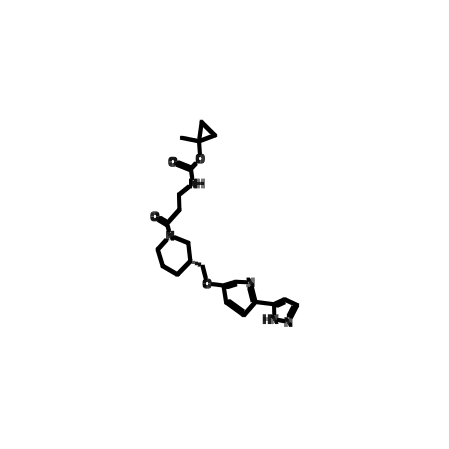 CC1(OC(=O)NCCC(=O)N2CCC[C@@H](COc3ccc(-c4ccn[nH]4)nc3)C2)CC1